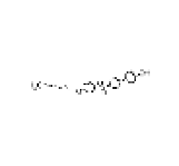 CCCCCCCCOc1ccc(OC(=O)c2ccc(-c3ccc(O)cc3)cc2)cc1